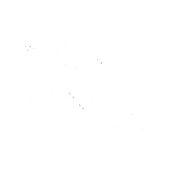 COc1ccc2ncc3c(-c4ccc(Br)cc4)nn(-c4ccccc4)c3c2c1